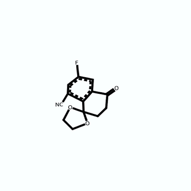 N#Cc1cc(F)cc2c1C1(CCC2=O)OCCO1